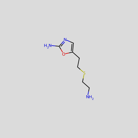 NCCSCCc1cnc(N)o1